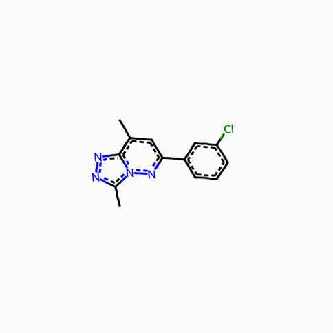 Cc1cc(-c2cccc(Cl)c2)nn2c(C)nnc12